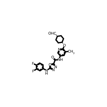 Cc1cc(NC(=O)c2nnc(Nc3ccc(F)c(F)c3)o2)cnc1O[C@H]1CC[C@@H](C=O)CC1